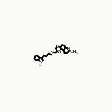 Cc1ccc2c3c(ccc2n1)OCC(CNCCCCc1c[nH]c2ccccc12)O3